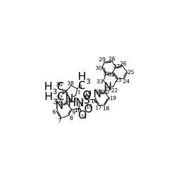 CC1CN(c2ncccc2C(=O)NS(=O)(=O)c2cccc(N3Cc4cccc5cccc(c45)C3)n2)C(C)(C)C1